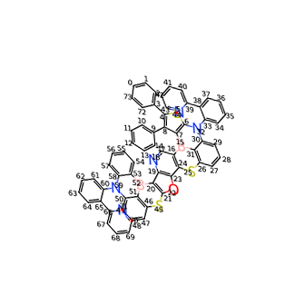 c1ccc(-c2sc3c(c2-c2ccccc2)B2c4cnc5c6c(oc5c4Sc4cccc(c42)N3c2ccccc2-c2ccccn2)Sc2cccc3c2B6c2ccccc2N3c2ccccc2-c2ccccn2)cc1